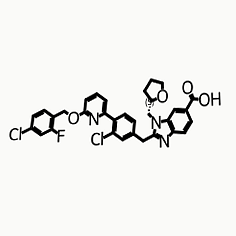 O=C(O)c1ccc2nc(Cc3ccc(-c4cccc(OCc5ccc(Cl)cc5F)n4)c(Cl)c3)n(C[C@@H]3CCCO3)c2c1